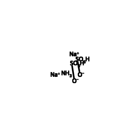 N.O=S(=O)([O-])O.O=S(=O)([O-])O.[Na+].[Na+]